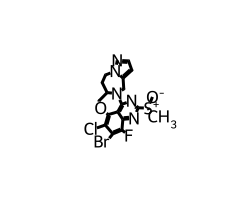 C[S+]([O-])c1nc2c3c(c(Cl)c(Br)c(F)c3n1)OCC1CCn3nccc3CN21